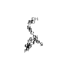 CN(c1ccc(F)c(C(=O)c2cn(COCC[Si](C)(C)C)c3ncc(-c4ccc(N5CCN(CC6CCN(CC(=O)O)CC6)CC5)cc4)cc23)c1F)S(=O)(=O)N1CC[C@@H](F)C1